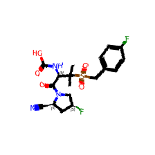 CC(C)([C@H](NC(=O)O)C(=O)N1C[C@@H](F)C[C@H]1C#N)S(=O)(=O)Cc1ccc(F)cc1